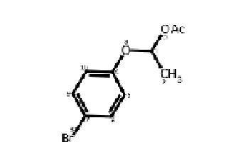 CC(=O)OC(C)Oc1ccc(Br)cc1